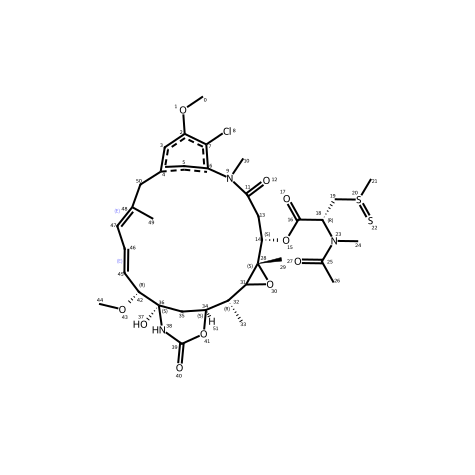 COc1cc2cc(c1Cl)N(C)C(=O)C[C@H](OC(=O)[C@H](CS(C)=S)N(C)C(C)=O)[C@]1(C)OC1[C@H](C)[C@@H]1C[C@@](O)(NC(=O)O1)[C@H](OC)/C=C/C=C(\C)C2